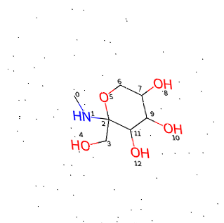 CNC1(CO)OCC(O)C(O)C1O